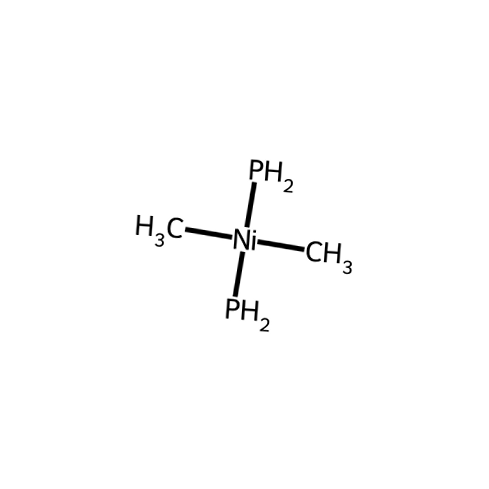 [CH3][Ni]([CH3])([PH2])[PH2]